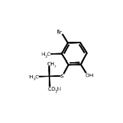 Cc1c(Br)ccc(O)c1SC(C)(C)C(=O)O